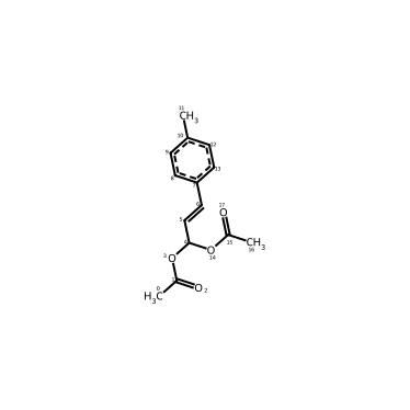 CC(=O)OC(C=Cc1ccc(C)cc1)OC(C)=O